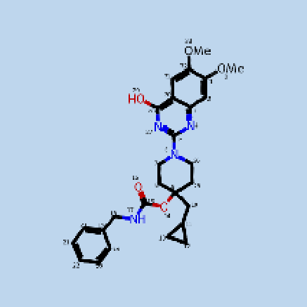 COc1cc2nc(N3CCC(CC4CC4)(OC(=O)NCc4ccccc4)CC3)nc(O)c2cc1OC